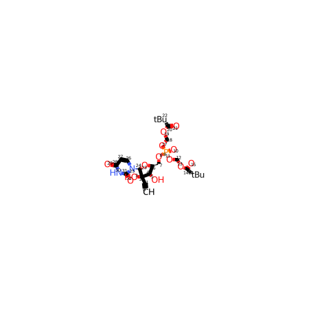 C#CC1(O)C(O)[C@@H](COP(=O)(OCOC(=O)C(C)(C)C)OCOC(=O)C(C)(C)C)O[C@H]1n1ccc(=O)[nH]c1=O